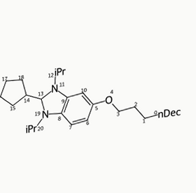 CCCCCCCCCCCCCOc1ccc2c(c1)N(C(C)C)C(C1CCCC1)N2C(C)C